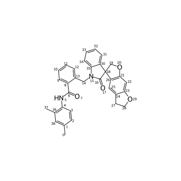 Cc1ccc(NC(=O)c2ccccc2CN2C(=O)C3(COc4cc5c(cc43)CCO5)c3ccccc32)c(C)c1